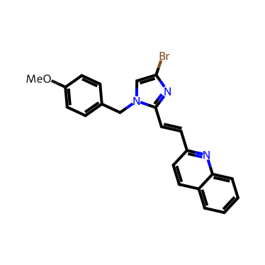 COc1ccc(Cn2cc(Br)nc2/C=C/c2ccc3ccccc3n2)cc1